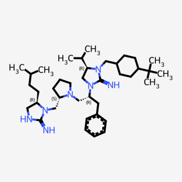 CC(C)CC[C@@H]1CNC(=N)N1C[C@@H]1CCCN1C[C@@H](Cc1ccccc1)N1C[C@@H](C(C)C)N(CC2CCC(C(C)(C)C)CC2)C1=N